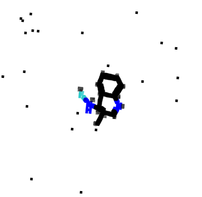 Cc1cnc2ccccc2c1NF